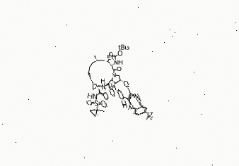 CCOc1ccc2nc(O)c(O[C@@H]3C[C@H]4C(=O)N[C@]5(C(=O)NS(=O)(=O)C6(C)CC6)CC5/C=C\CC[C@@H](C)C[C@@H](CC)[C@H](NC(=O)OC(C)(C)C)C(=O)N4C3)nc2c1